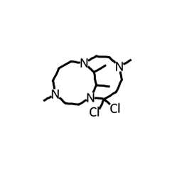 CC1C(C)N2CCN(C)CCCN1CCN(C)CCC2(Cl)Cl